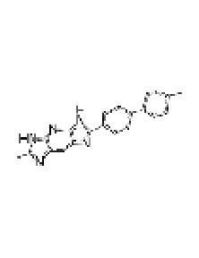 Cc1ccc(-c2ccc(-c3nc4cc5nc(C)[nH]c5nc4[nH]3)cc2)cc1